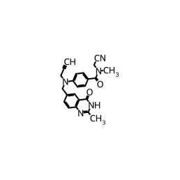 C#CCN(Cc1ccc2nc(C)[nH]c(=O)c2c1)c1ccc(C(=O)N(C)CC#N)cc1